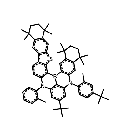 Cc1cc(C(C)(C)C)ccc1N1c2cc3c(cc2B2c4c1cc(C(C)(C)C)cc4N(c1ccccc1C)c1ccc4c(sc5cc6c(cc54)C(C)(C)CCC6(C)C)c12)C(C)(C)CCC3(C)C